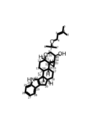 CC(C)=CCOC(C)(C)[C@H]1O[C@H]2CC[C@@]3(C)[C@@H](CC[C@H]4Cc5c([nH]c6ccccc56)[C@@]43C)[C@]23C[C@@H]3[C@@H]1O